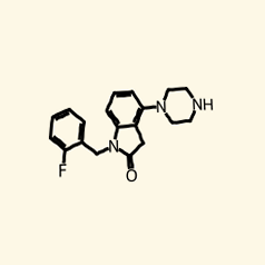 O=C1Cc2c(N3CCNCC3)cccc2N1Cc1ccccc1F